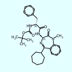 CN1C(=O)[C@H](NC(=O)[C@@H](Cc2ccccc2)NC(=O)OC(C)(C)C)N=C(C2CCCCCC2)c2ccccc21